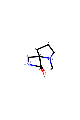 CN1CCCC12CNC2=O